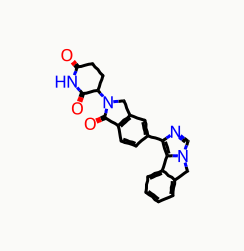 O=C1CCC(N2Cc3cc(-c4ncn5c4-c4ccccc4C5)ccc3C2=O)C(=O)N1